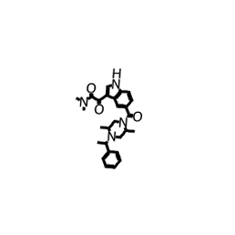 CC1CN(C(C)c2ccccc2)C(C)CN1C(=O)c1ccc2[nH]cc(C(=O)C(=O)N(C)C)c2c1